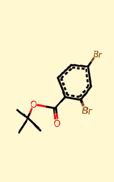 CC(C)(C)OC(=O)c1ccc(Br)cc1Br